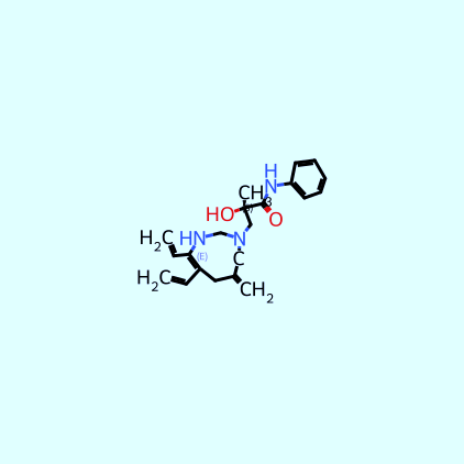 C=C/C1=C(\C=C)NCN(C[C@](C)(O)C(=O)Nc2ccccc2)CC(=C)C1